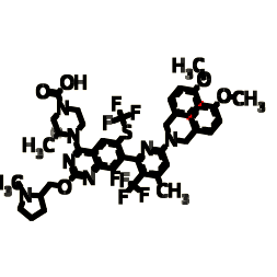 COc1ccc(CN(Cc2ccc(OC)cc2)c2cc(C)c(C(F)(F)F)c(-c3c(SC(F)(F)F)cc4c(N5CCN(C(=O)O)C[C@@H]5C)nc(OCC5CCCN5C)nc4c3F)n2)cc1